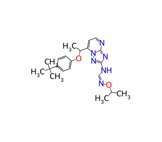 CC(C)O/N=C\Nc1nc2nccc(C(C)Oc3ccc(C(C)(C)C)cc3)n2n1